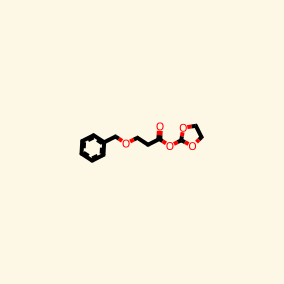 O=C(CCOCc1ccccc1)OC1OCCO1